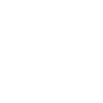 Cc1ccc(P(=O)(C(=O)c2ccccc2)C(=O)c2ccccc2)c(C)c1C